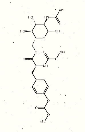 CCCC(=O)N[C@H]1C(O)O[C@H](COC(=O)[C@H](Cc2ccc(OC(=O)OC(C)(C)C)cc2)NC(=O)OC(C)(C)C)[C@@H](O)[C@@H]1O